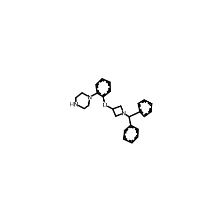 c1ccc(C(c2ccccc2)N2CC(Oc3ccccc3N3CCNCC3)C2)cc1